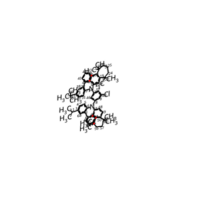 CC(C)c1ccc(N(c2cc(Cl)cc(N(c3ccc4c(c3)C(C)(C)CCCC4(C)C)c3ccc(C(C)(C)C)cc3-c3ccccc3)c2)c2ccc3c(c2)C(C)(C)CCC3(C)C)c(-c2ccccc2)c1